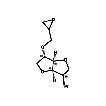 CC(C)[C@@H]1CO[C@H]2[C@@H]1OC[C@@H]2OCC1CO1